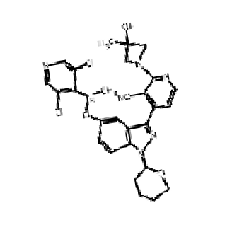 C[C@@H](Oc1ccc2c(c1)c(-c1ccnc(N3CC(C)(O)C3)c1C#N)nn2C1CCCCO1)c1c(Cl)cncc1Cl